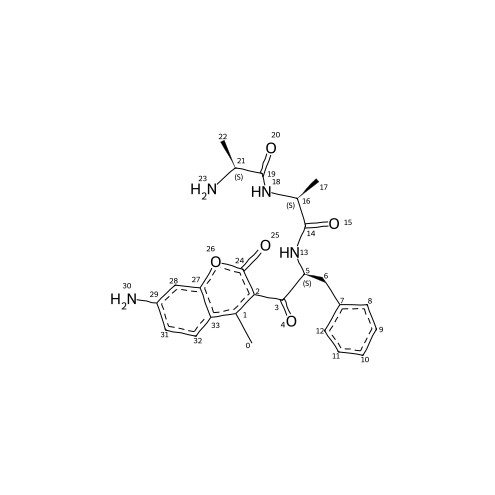 Cc1c(C(=O)[C@H](Cc2ccccc2)NC(=O)[C@H](C)NC(=O)[C@H](C)N)c(=O)oc2cc(N)ccc12